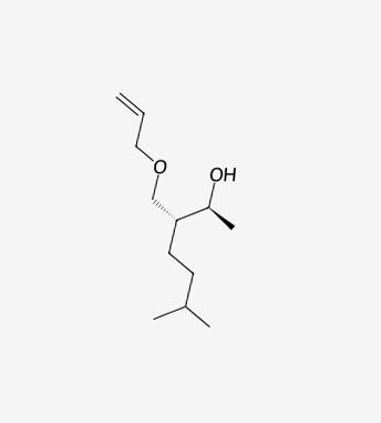 C=CCOC[C@@H](CCC(C)C)[C@H](C)O